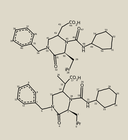 CC(C)C[C@H]1C(=O)N(Cc2ccccc2)CC(C(C)C(=O)O)N1C(=O)NC1CCCCC1.CC(C)C[C@H]1C(=O)N(Cc2ccccc2)CC(CC(=O)O)N1C(=O)NC1CCCCC1